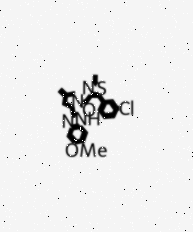 C=C1CC(c2nc3cc(OC)ccc3[nH]2)N(C(=O)c2nc(C)sc2-c2cccc(Cl)c2)C1